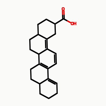 O=C(O)C1CCC2CCC3C(=C2C1)C=CC1=C3CCC2CCCC=C12